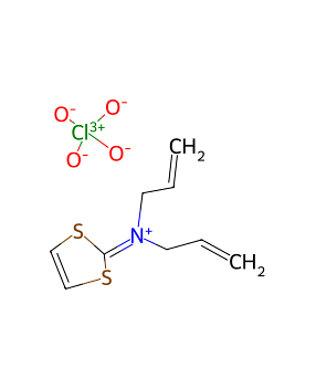 C=CC[N+](CC=C)=c1sccs1.[O-][Cl+3]([O-])([O-])[O-]